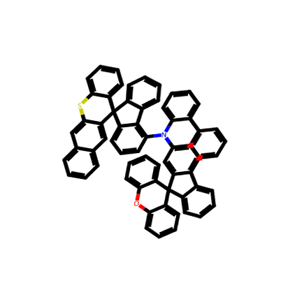 c1ccc(-c2ccccc2N(c2ccc3c(c2)C2(c4ccccc4Oc4ccccc42)c2ccccc2-3)c2cccc3c2-c2ccccc2C32c3ccccc3Sc3cc4ccccc4cc32)cc1